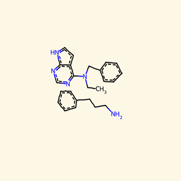 CCN(Cc1ccccc1)c1ncnc2[nH]ccc12.NCCCc1ccccc1